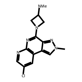 CNC1CN(c2nc3ncc(Cl)cc3c3cn(C)nc23)C1